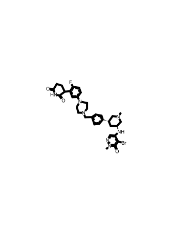 CN1C[C@H](Nc2cnn(C)c(=O)c2Br)C[C@H](c2ccc(CN3CCN(c4ccc(F)c(C5CCC(=O)NC5=O)c4)CC3)cc2)C1